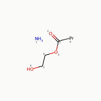 CC(C)C(=O)OCCO.N